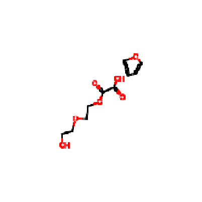 O=C(O)C(=O)OCCOCCO.c1ccoc1